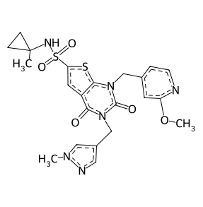 COc1cc(Cn2c(=O)n(Cc3cnn(C)c3)c(=O)c3cc(S(=O)(=O)NC4(C)CC4)sc32)ccn1